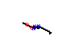 CCCCOCCCCOc1cnc(-c2ccc(CCCCCCCCCC3CC3)nc2)cn1